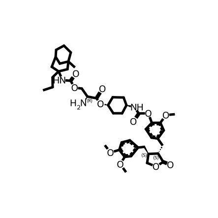 CCCC1(NC(=O)OC[C@@H](N)C(=O)O[C@H]2CC[C@H](NC(=O)Oc3ccc(C[C@@H]4C(=O)OC[C@H]4Cc4ccc(OC)c(OC)c4)cc3OC)CC2)CC2CCCC(C)(C2)C1